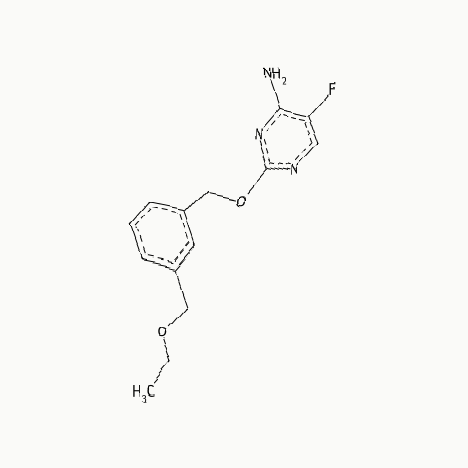 CCOCc1cccc(COc2ncc(F)c(N)n2)c1